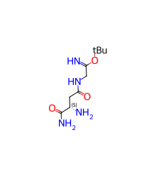 CC(C)(C)OC(=N)CNC(=O)C[C@H](N)C(N)=O